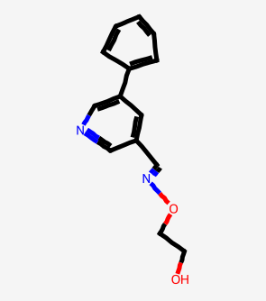 OCCON=Cc1cncc(-c2ccccc2)c1